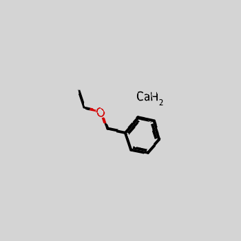 CCOCc1ccccc1.[CaH2]